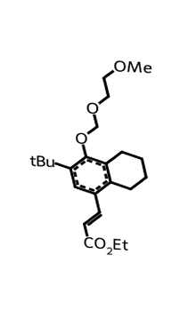 CCOC(=O)C=Cc1cc(C(C)(C)C)c(OCOCCOC)c2c1CCCC2